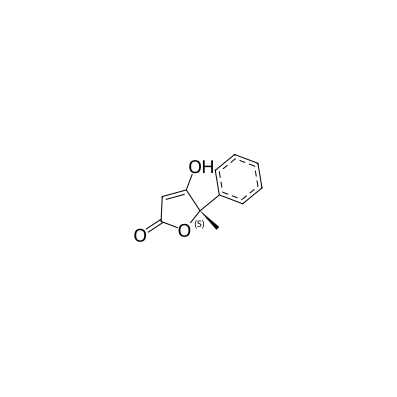 C[C@@]1(c2ccccc2)OC(=O)C=C1O